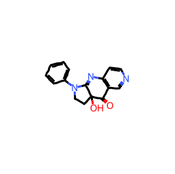 O=C1c2cnccc2N=C2N(c3ccccc3)CCC12O